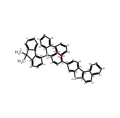 CC1(C)c2ccccc2-c2c(N(c3ccc(-c4ccc5c(c4)sc4ccc6ccccc6c45)cc3)c3ccccc3-c3ccccc3)cccc21